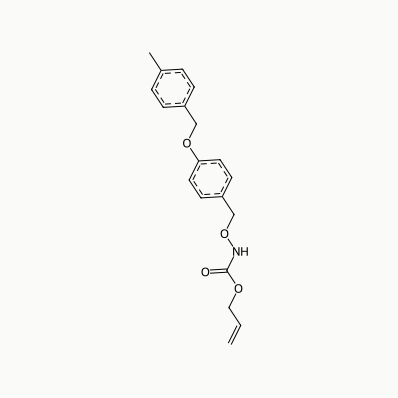 C=CCOC(=O)NOCc1ccc(OCc2ccc(C)cc2)cc1